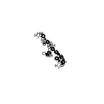 COc1ccc(CN2CCN(C3CC4(CCN(c5ccc(C(=O)NS(=O)(=O)c6ccc(NC[C@H]7CC[C@](C)(O)CC7)c([N+](=O)[O-])c6)c(Oc6cnc7[nH]cc(Cl)c7c6)c5)CC4)C3)[C@H](c3ccccc3C(C)C)C2)cc1